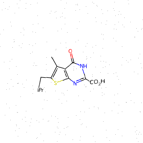 Cc1c(CC(C)C)sc2nc(C(=O)O)[nH]c(=O)c12